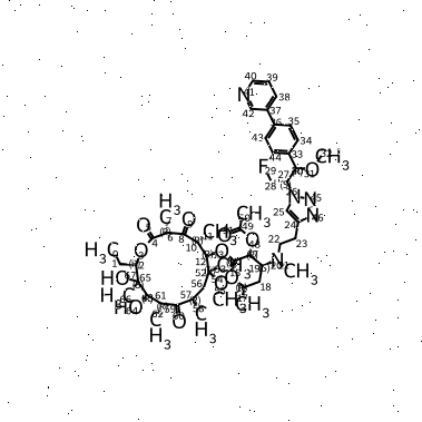 CC[C@H]1OC(=O)[C@H](C)C(=O)[C@H](C)[C@@H](O[C@@H]2O[C@H](C)C[C@H](N(C)CCc3cn([C@H](CF)[C@H](OC)c4ccc(-c5cccnc5)cc4)nn3)[C@H]2OC(C)=O)[C@](C)(OC)C[C@@H](C)C(=O)[C@H](C)[C@@H](O)[C@]1(C)O